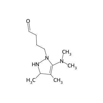 CC1=C(N(C)C)N(CCCC=O)NC1C